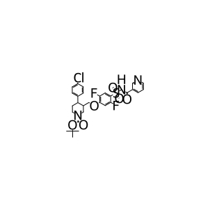 CC(C)(C)OC(=O)N1CCC(c2ccc(Cl)cc2)C(COc2cc(F)c(S(=O)(=O)NC(=O)c3cccnc3)cc2F)C1